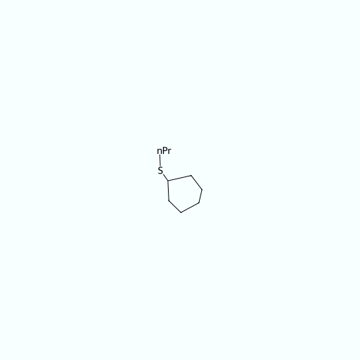 [CH2]CCSC1CCCCC1